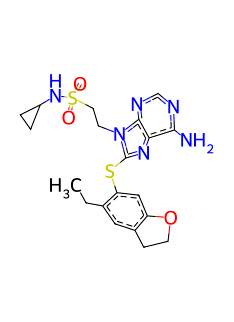 CCc1cc2c(cc1Sc1nc3c(N)ncnc3n1CCS(=O)(=O)NC1CC1)OCC2